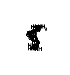 COC(=O)C(COC(=O)N1CCCNCCN(Cc2ccc(CN3CCCNCCNCCCNCC3)cc2)CCCNCC1)NC(=O)c1ccc(NCc2cnc3nc(N)nc(O)c3n2)cc1